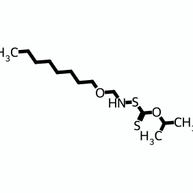 CCCCCCCCOCNSC(=S)OC(C)C